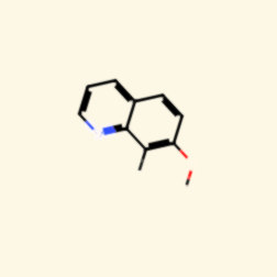 CCOc1ccc2cccnc2c1C(=O)O